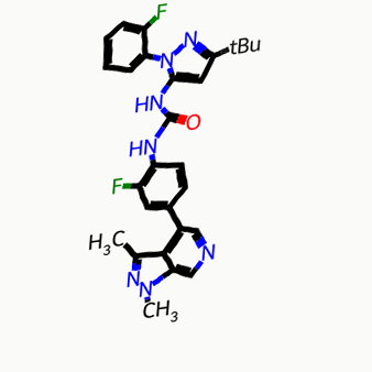 Cc1nn(C)c2cncc(-c3ccc(NC(=O)Nc4cc(C(C)(C)C)nn4-c4ccccc4F)c(F)c3)c12